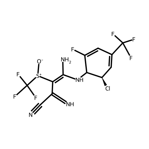 N#CC(=N)/C(=C(/N)NC1C(F)=CC(C(F)(F)F)=C[C@H]1Cl)[S+]([O-])C(F)(F)F